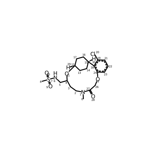 CN1CCC(CNS(C)(=O)=O)O[C@H]2CC[C@H](CC2)c2c(Cl)cccc2OCC1=O